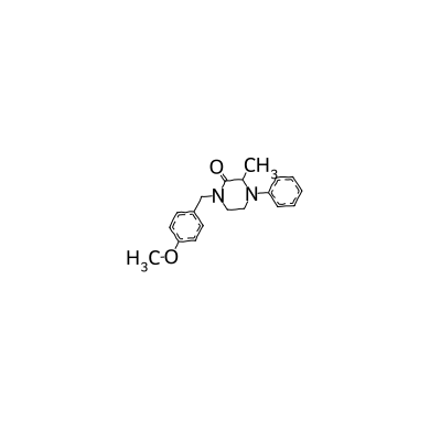 COc1ccc(CN2CCN(c3ccccc3)C(C)C2=O)cc1